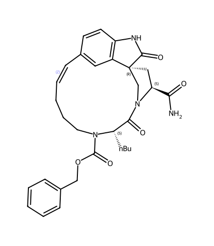 CCCC[C@H]1C(=O)N2C[C@]3(C[C@H]2C(N)=O)C(=O)Nc2ccc(cc23)/C=C\CCCN1C(=O)OCc1ccccc1